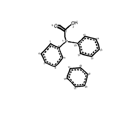 O=C(O)P(c1ccccc1)c1ccccc1.c1ccccc1